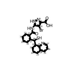 O=C(Nc1[nH]nc(C(=O)O)c1Br)c1ccccc1C(S)c1cccc2cccnc12